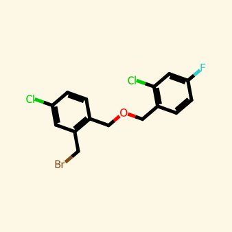 Fc1ccc(COCc2ccc(Cl)cc2CBr)c(Cl)c1